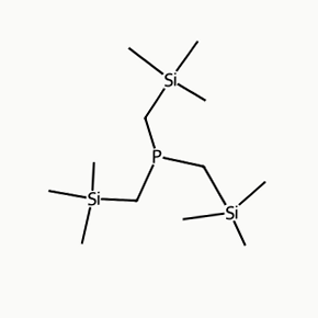 C[Si](C)(C)CP(C[Si](C)(C)C)C[Si](C)(C)C